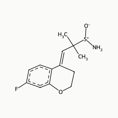 CC(C)(C=C1CCOc2cc(F)ccc21)[S+](N)[O-]